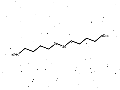 CCCCCCCCCCCCCC[Se][Se]CCCCCCCCCCCCCC